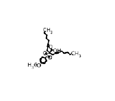 CCCCCC#CCC(CC#CCCCCC)(C(=O)O)S(=O)(=O)c1ccc(OC)cc1